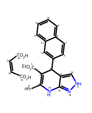 CCCC1=C(C(=O)OCC)C(c2ccc3ccccc3c2)c2c[nH]nc2N1.O=C(O)/C=C\C(=O)O